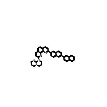 c1ccc2cc(-c3ccc4cc(-c5ccc6ccc7ccc(N8CCCN9CCCN=C98)nc7c6n5)ccc4c3)ccc2c1